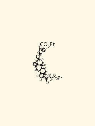 CCOC(=O)C[NH+]([O-])CCO[C@H]1CC[C@]2(C)C3CC[C@@]4(C)C(CC[C@@H]4[C@H](C)CCCC(C)C)C3CC3OC32C1